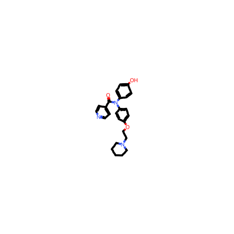 O=C(c1ccncc1)N(c1ccc(O)cc1)c1ccc(OCCN2CCCCC2)cc1